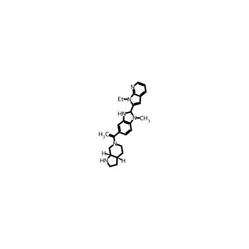 C=C(c1ccc2c(c1)NC(c1cc3cccnc3n1CC)N2C)N1CC[C@@H]2CCN[C@@H]2C1